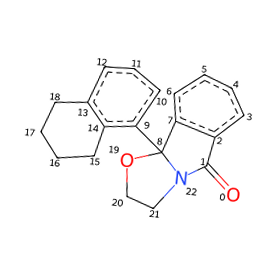 O=C1c2ccccc2C2(c3cccc4c3CCCC4)OCCN12